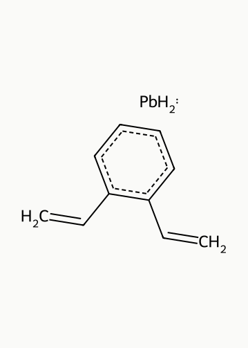 C=Cc1ccccc1C=C.[PbH2]